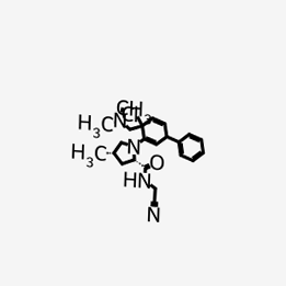 C[C@H]1C[C@@H](C(=O)NCC#N)N(C2=CC(c3ccccc3)C=CC2(Cl)CN(C)C)C1